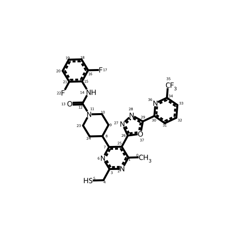 Cc1nc(CS)nc(C2CCN(C(=O)Nc3c(F)cccc3F)CC2)c1-c1nnc(-c2cccc(C(F)(F)F)n2)o1